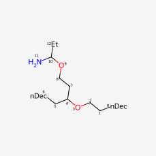 CCCCCCCCCCCCOC(CCCCCCCCCCC)CCOC(N)CC